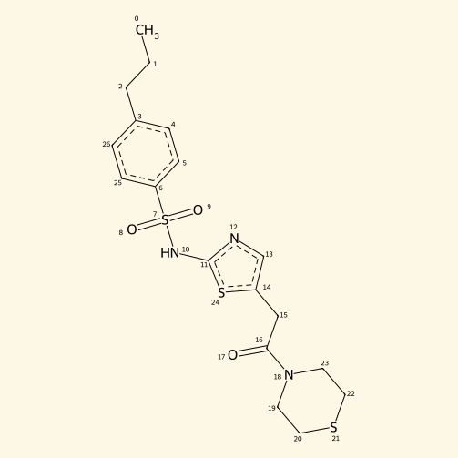 CCCc1ccc(S(=O)(=O)Nc2ncc(CC(=O)N3CCSCC3)s2)cc1